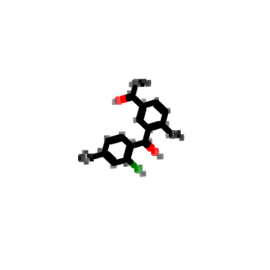 COC(=O)c1ccc(C)c(C(=O)c2ccc([N+](=O)[O-])cc2Cl)c1